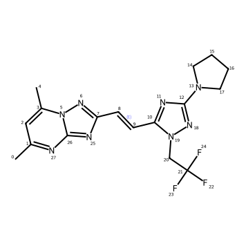 Cc1cc(C)n2nc(/C=C/c3nc(N4CCCC4)nn3CC(F)(F)F)nc2n1